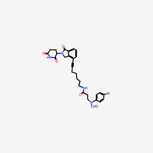 O=CN(CCC(=O)NCCCCCC#Cc1cccc2c1CN(C1CCC(=O)NC1=O)C2=O)c1ccc(Br)cc1